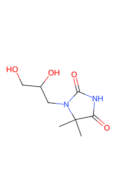 CC1(C)C(=O)NC(=O)N1CC(O)CO